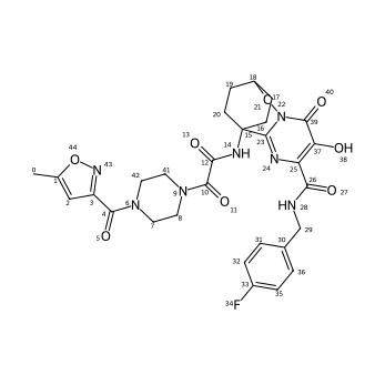 Cc1cc(C(=O)N2CCN(C(=O)C(=O)NC34CCC(CC3)Cn3c4nc(C(=O)NCc4ccc(F)cc4)c(O)c3=O)CC2)no1